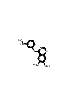 COc1cc2ncnc(Sc3cccc(NO)c3)c2cc1OC